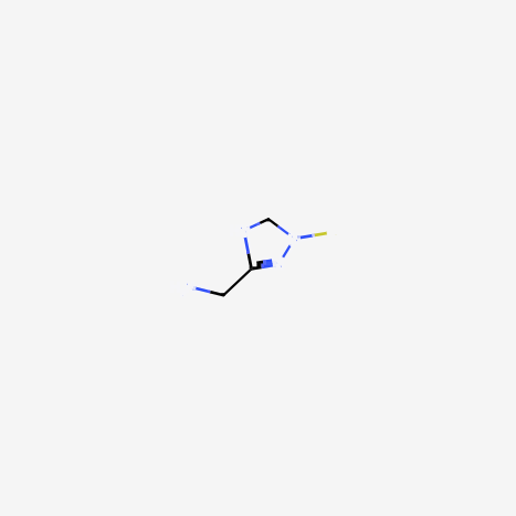 NCC1=NN(S)CN1